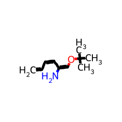 C=C/C=C\C(N)=C/OC(C)(C)C